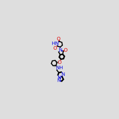 O=C1CCC(N2Cc3cc(O[C@H]4CCCC[C@H]4NCc4cnc5ccnn5c4)ccc3C2=O)C(=O)N1